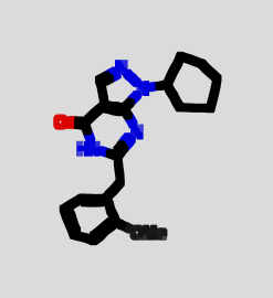 COc1ccccc1Cc1nc2c(cnn2C2CCCCC2)c(=O)[nH]1